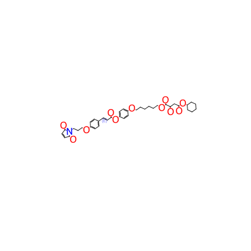 O=C(/C=C/c1ccc(OCCCN2C(=O)C=CC2=O)cc1)Oc1ccc(OCCCCCCOC(=O)C(=O)CC(=O)OC2CCCCC2)cc1